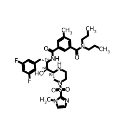 CCCN(CCC)C(=O)c1cc(C)cc(C(=O)N[C@@H](Cc2cc(F)cc(F)c2)[C@H](O)[C@H]2CN(S(=O)(=O)c3nccn3C)CCN2)c1